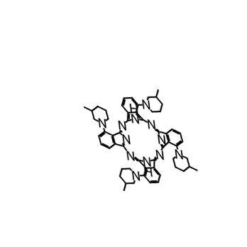 CC1CCCN(c2cccc3c2-c2nc-3nc3[nH]c(nc4nc(nc5[nH]c(n2)c2cccc(N6CCCC(C)C6)c52)-c2cccc(N5CCCC(C)C5)c2-4)c2cccc(N4CCCC(C)C4)c32)C1